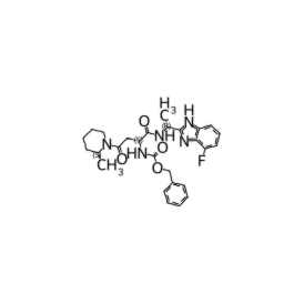 C[C@@H](NC(=O)[C@H](CC(=O)N1CCCC[C@@H]1C)NC(=O)OCc1ccccc1)c1nc2c(F)cccc2[nH]1